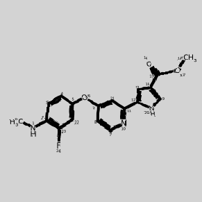 CNc1ccc(Oc2ccnc(-c3cc(C(=O)OC)c[nH]3)c2)cc1F